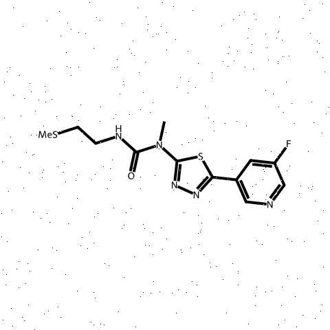 CSCCNC(=O)N(C)c1nnc(-c2cncc(F)c2)s1